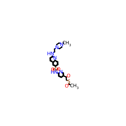 CC(=O)SCC(=O)c1ccc(NS(=O)(=O)c2ccc3nc(NCCN4CCN(C)CC4)ccc3c2)nc1